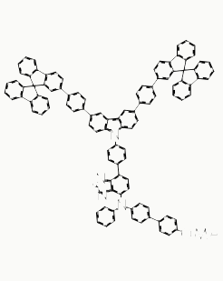 COc1ccc(-c2ccc(N(c3ccccc3)c3ccc(-c4ccc(-n5c6ccc(-c7ccc(-c8ccc9c(c8)C8(c%10ccccc%10-c%10ccccc%108)c8ccccc8-9)cc7)cc6c6cc(-c7ccc(-c8ccc9c(c8)C8(c%10ccccc%10-c%10ccccc%108)c8ccccc8-9)cc7)ccc65)cc4)c4nsnc34)cc2)cc1